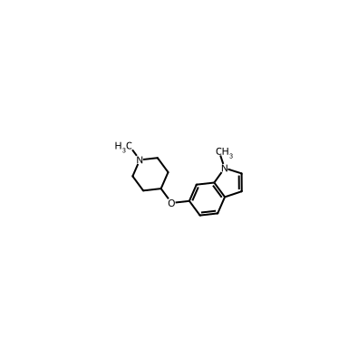 CN1CCC(Oc2ccc3ccn(C)c3c2)CC1